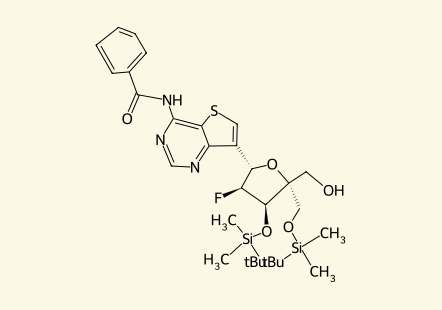 CC(C)(C)[Si](C)(C)OC[C@@]1(CO)O[C@@H](c2csc3c(NC(=O)c4ccccc4)ncnc23)[C@H](F)[C@@H]1O[Si](C)(C)C(C)(C)C